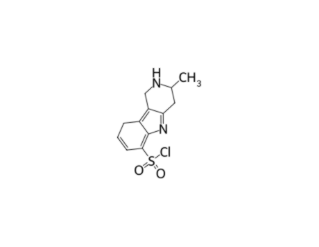 CC1CC2=NC3=C(S(=O)(=O)Cl)C=CCC3=C2CN1